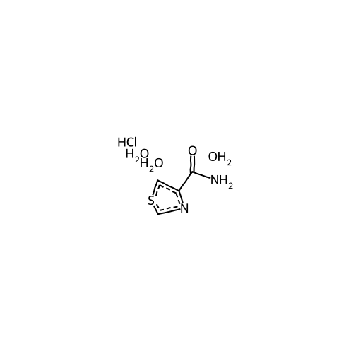 Cl.NC(=O)c1cscn1.O.O.O